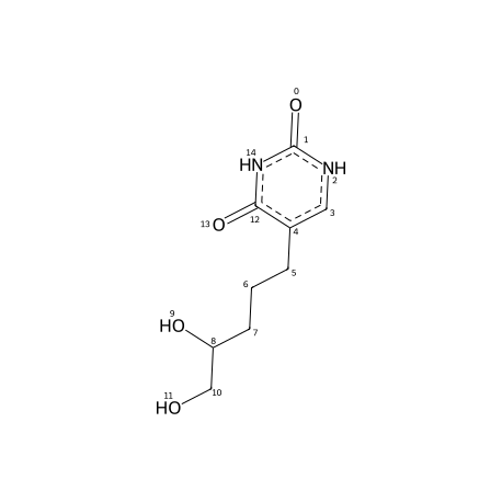 O=c1[nH]cc(CCCC(O)CO)c(=O)[nH]1